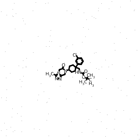 Cc1nnc2n1CC(=O)N(C1CCC(CNC(=O)OC(C)(C)C)(c3cccc(Cl)c3)CC1)C2